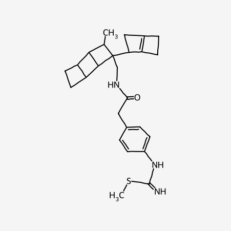 CSC(=N)Nc1ccc(CC(=O)NCC2(C3CC4=C3CC4)C(C)C3C4CCC4C32)cc1